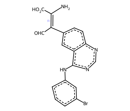 N/C(C(=O)O)=C(/C=O)c1ccc2ncnc(Nc3cccc(Br)c3)c2c1